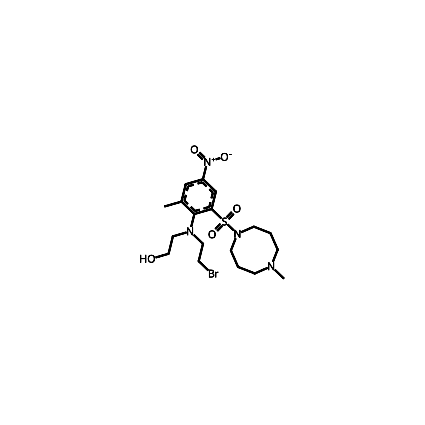 Cc1cc([N+](=O)[O-])cc(S(=O)(=O)N2CCCN(C)CCC2)c1N(CCO)CCBr